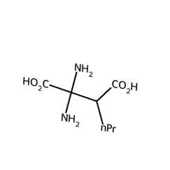 CCCC(C(=O)O)C(N)(N)C(=O)O